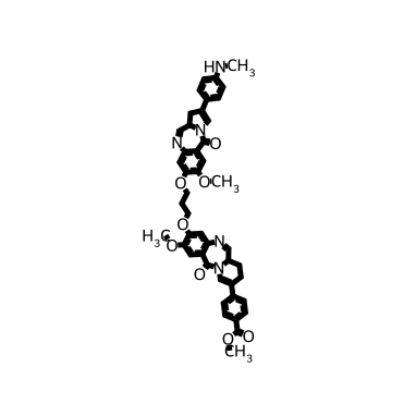 CNc1ccc(C2=CN3C(=O)c4cc(OC)c(OCCCOc5cc6c(cc5OC)C(=O)N5C=C(c7ccc(C(=O)OC)cc7)CCC5C=N6)cc4N=CC3C2)cc1